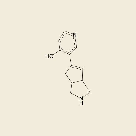 Oc1ccncc1C1=CC2CNCC2C1